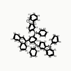 c1ccc(N(c2cc(-c3cc4ccccc4c4ccccc34)cc(N(c3ccccc3)c3ccc4c(c3)c3ccccc3n4-c3ccccc3)c2)c2ccc3oc4ccccc4c3c2)cc1